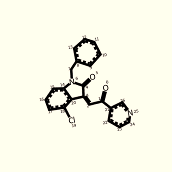 O=C(C=C1C(=O)N(Cc2ccccc2)c2cccc(Cl)c21)c1cccnc1